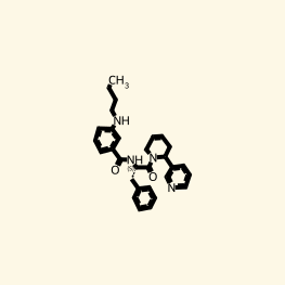 CCCCNc1cccc(C(=O)N[C@@H](Cc2ccccc2)C(=O)N2CC=CCC2c2cccnc2)c1